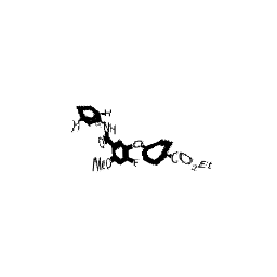 CCOC(=O)[C@H]1CC[C@@H](Oc2cc(C(=O)N[C@H]3C[C@@H]4CC[C@H]3C4)c(OC)cc2F)CC1